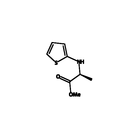 COC(=O)[C@H](C)Nc1cccs1